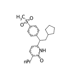 CCCc1ccc(C(CC2CCCC2)c2ccc(S(C)(=O)=O)cc2)[nH]c1=O